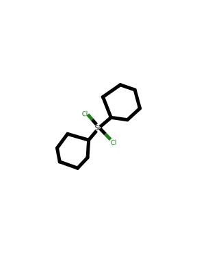 Cl[Si](Cl)(C1CCCCC1)C1CCCCC1